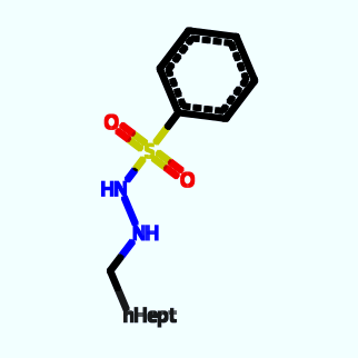 CCCCCCCCNNS(=O)(=O)c1ccccc1